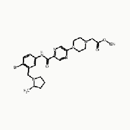 CC(C)(C)OC(=O)CN1CCN(c2cnc(C(=O)Nc3ccc(Br)c(CN4CCC[C@H]4C(F)(F)F)c3)cn2)CC1